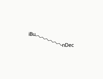 CCCCCCCCCCCCCCCCCCCCCCCC(C)CC